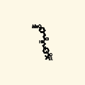 CCC(C)(C)C(=O)N1CCN(CCNC(=O)/C=C/c2ccc(OC)cc2)CC1